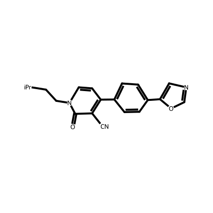 CC(C)CCn1ccc(-c2ccc(-c3cnco3)cc2)c(C#N)c1=O